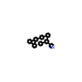 c1ccc(-c2cc(-c3ccncc3)cc(-c3ccccc3-c3ccc(-c4ccc5c6ccccc6c6ccccc6c5c4)cc3)c2)cc1